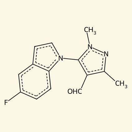 Cc1nn(C)c(-n2ccc3cc(F)ccc32)c1C=O